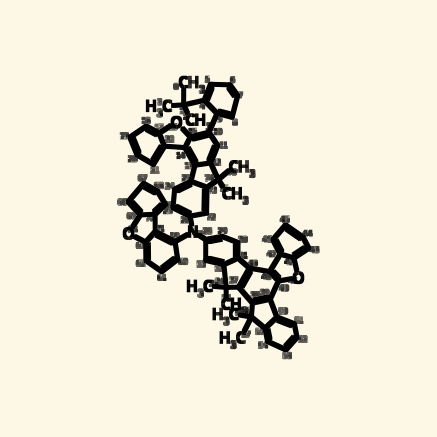 CC(C)(C)c1ccccc1-c1cc2c(c3c1oc1ccccc13)-c1ccc(N(c3ccc4c(c3)C(C)(C)c3c5c(c6oc7ccccc7c6c3-4)-c3ccccc3C5(C)C)c3cccc4oc5ccccc5c34)cc1C2(C)C